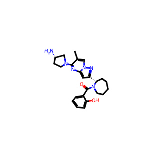 Cc1cn2nc([C@@H]3CCCCCN3C(=O)c3ccccc3O)cc2nc1N1CC[C@H](N)C1